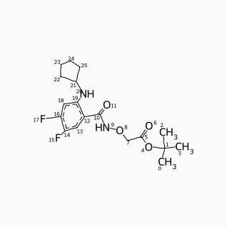 CC(C)(C)OC(=O)CONC(=O)c1cc(F)c(F)cc1NC1CCCC1